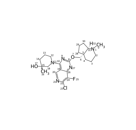 CN1CCC[C@@]2(COc3nc(N4CCC[C@@](C)(O)C4)c4cnc(Cl)c(F)c4n3)CCC[C@@H]12